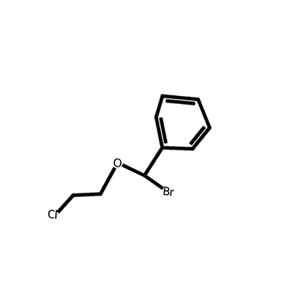 ClCCOC(Br)c1ccccc1